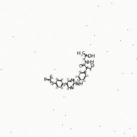 C[C@@H](O)CNC(=O)[C@@H](CO)c1ccc(Nc2ncc(-c3ccc(OC(F)F)cc3)cn2)cc1